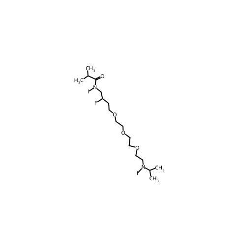 CC(C)C(=O)N(I)CC(F)CCOCCOCCOCCN(I)C(C)C